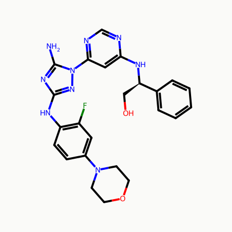 Nc1nc(Nc2ccc(N3CCOCC3)cc2F)nn1-c1cc(N[C@H](CO)c2ccccc2)ncn1